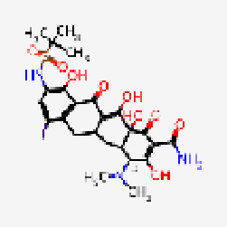 CN(C)[C@@H]1C(O)=C(C(N)=O)C(=O)C2(O)C(O)=C3C(=O)c4c(O)c(NS(=O)(=O)C(C)(C)C)cc(I)c4CC3CC12